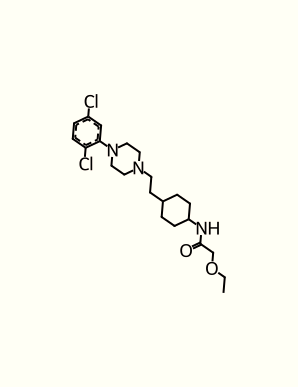 CCOCC(=O)NC1CCC(CCN2CCN(c3cc(Cl)ccc3Cl)CC2)CC1